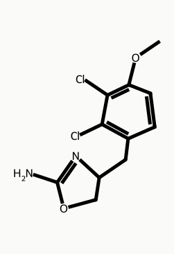 COc1ccc(CC2COC(N)=N2)c(Cl)c1Cl